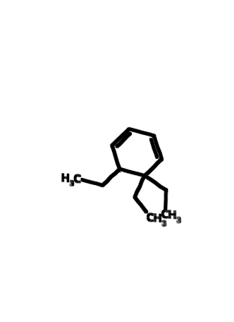 CC[C]1C=CC=CC1(CC)CC